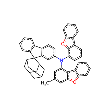 Cc1cc(N(c2ccc3c(c2)C2(c4ccccc4-3)C3CC4CC(C3)CC2C4)c2cccc3c2oc2ccccc23)c2c(c1)oc1ccccc12